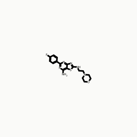 Nc1nc(-c2ccc(F)cc2)nc2nc(NCCN3CCOCC3)sc12